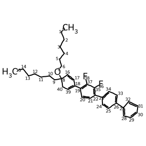 CCCCCCCOC1(CCCCCCC)C=CC(c2ccc(-c3ccc(-c4ccccc4)cc3)c(F)c2F)=CC1